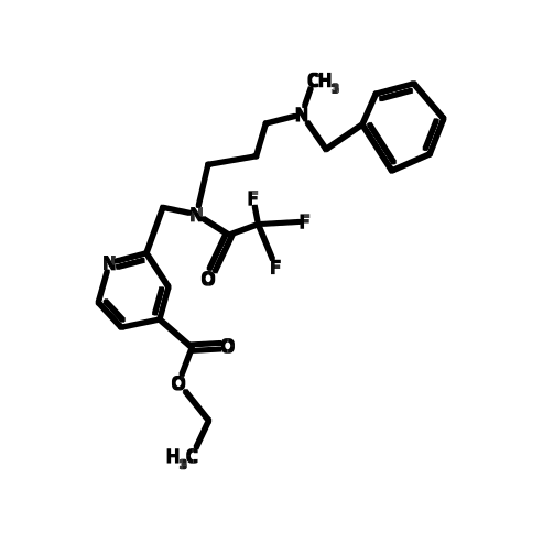 CCOC(=O)c1ccnc(CN(CCCN(C)Cc2ccccc2)C(=O)C(F)(F)F)c1